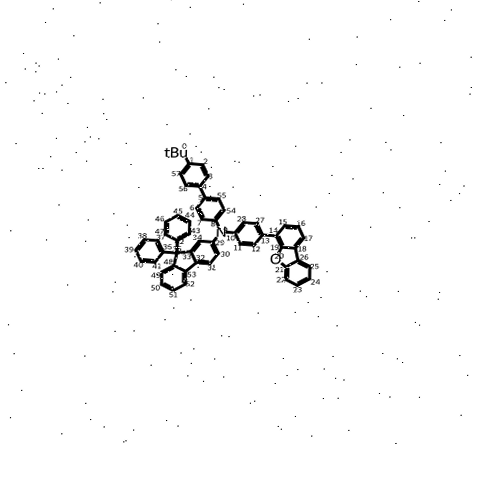 CC(C)(C)c1ccc(-c2ccc(N(c3ccc(-c4cccc5c4oc4ccccc45)cc3)c3ccc4c(c3)C(c3ccccc3)(c3ccccc3)c3ccccc3-4)cc2)cc1